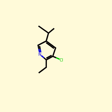 CCc1ncc(C(C)C)cc1Cl